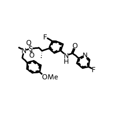 COc1ccc(CN(C)S(=O)(=O)C[C@@H](C)c2cc(NC(=O)c3ccc(F)cn3)ccc2F)cc1